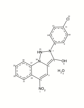 O.O=[N+]([O-])C1=CC2=C(O)N(c3ccc(Cl)cc3)NN2c2ccccc21